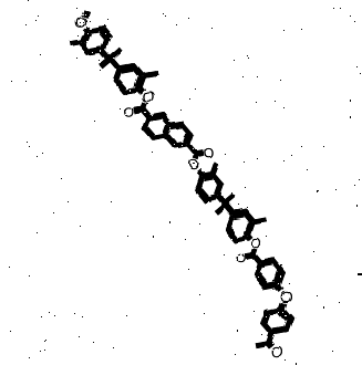 COc1ccc(C(C)(C)c2ccc(OC(=O)c3ccc4cc(C(=O)Oc5ccc(C(C)(C)c6ccc(OC(=O)c7ccc(Oc8ccc(C(C)=O)cc8)cc7)c(C)c6)cc5C)ccc4c3)c(C)c2)cc1C